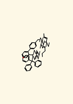 CCCc1nc2cc(C)n(Cc3ccc(-c4ccccc4-c4nnnn4C(c4ccccc4)(c4ccccc4)c4ccccc4)cc3)n2n1